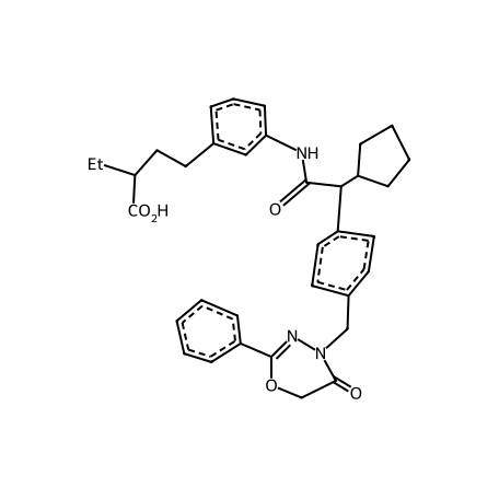 CCC(CCc1cccc(NC(=O)C(c2ccc(CN3N=C(c4ccccc4)OCC3=O)cc2)C2CCCC2)c1)C(=O)O